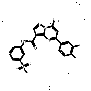 CS(=O)(=O)c1cccc(NC(=O)c2cnn3c(C(F)(F)F)cc(-c4ccc(F)c(F)c4)nc23)c1